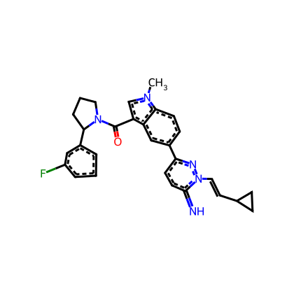 Cn1cc(C(=O)N2CCCC2c2cccc(F)c2)c2cc(-c3ccc(=N)n(/C=C/C4CC4)n3)ccc21